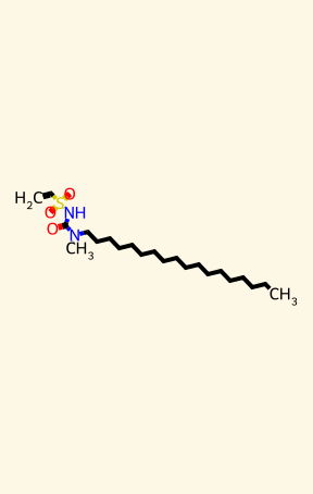 C=CS(=O)(=O)NC(=O)N(C)CCCCCCCCCCCCCCCCCC